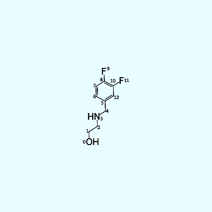 OCCNCc1ccc(F)c(F)c1